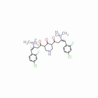 CN(C)/C(=C/c1ccc(Cl)cc1F)CC(=O)C1CNCC(C(=O)C/C(=C\c2ccc(Cl)cc2F)N(C)C)C1=O